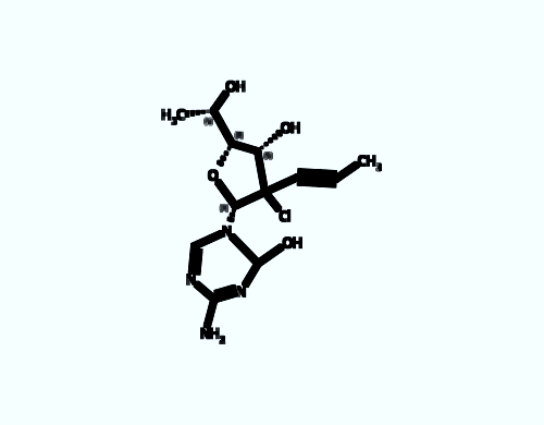 CC#CC1(Cl)[C@@H](O)[C@@H]([C@H](C)O)O[C@H]1N1C=NC(N)=NC1O